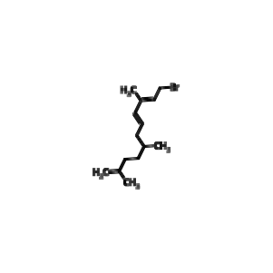 C=C(C)CCC(C)CC=CC(C)=CCBr